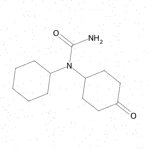 NC(=O)N(C1CCCCC1)C1CCC(=O)CC1